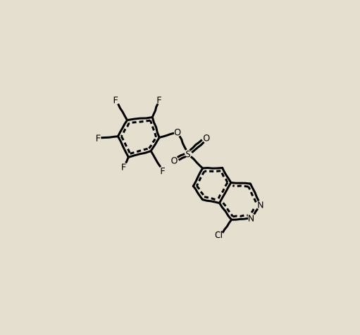 O=S(=O)(Oc1c(F)c(F)c(F)c(F)c1F)c1ccc2c(Cl)nncc2c1